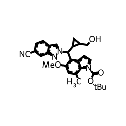 COc1cc(C)c2c(ccn2C(=O)OC(C)(C)C)c1C(C1CC1CO)n1cc2ccc(C#N)cc2n1